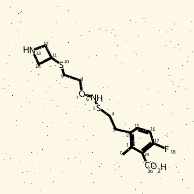 Cc1c(CCSNOCCSC2CNC2)ccc(F)c1C(=O)O